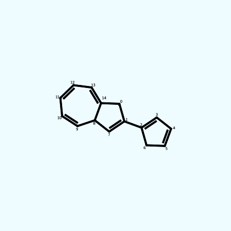 [C]1C(C2=CC=CC2)=CC2C=CC=CC=C12